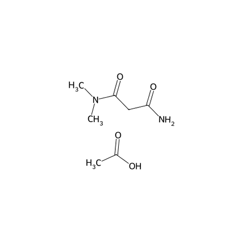 CC(=O)O.CN(C)C(=O)CC(N)=O